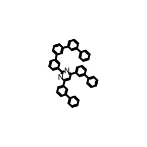 c1ccc(-c2cccc(-c3cccc(-c4cccc(-c5nc(-c6cccc(-c7ccccc7)c6)cc(-c6cccc(-c7ccccc7)c6)n5)c4)c3)c2)cc1